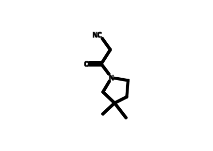 CC1(C)CCN(C(=O)CC#N)C1